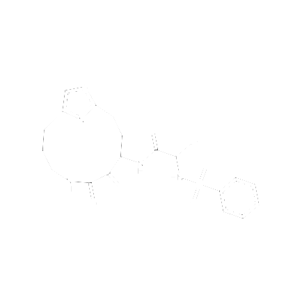 CC(C)C(NS(=O)(=O)c1ccccc1)C(=O)NC1CCc2nc(cs2)CCCNC(=O)C1=O